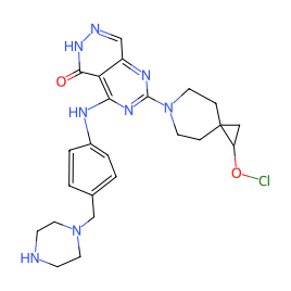 O=c1[nH]ncc2nc(N3CCC4(CC3)CC4OCl)nc(Nc3ccc(CN4CCNCC4)cc3)c12